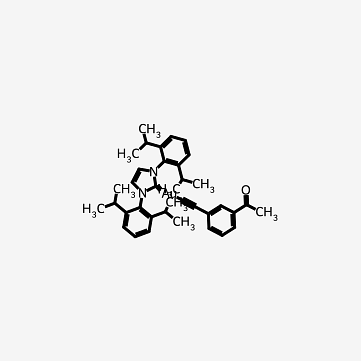 CC(=O)c1cccc(C#[C][Au]=[c]2n(-c3c(C(C)C)cccc3C(C)C)ccn2-c2c(C(C)C)cccc2C(C)C)c1